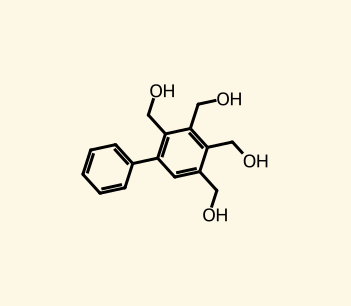 OCc1cc(-c2ccccc2)c(CO)c(CO)c1CO